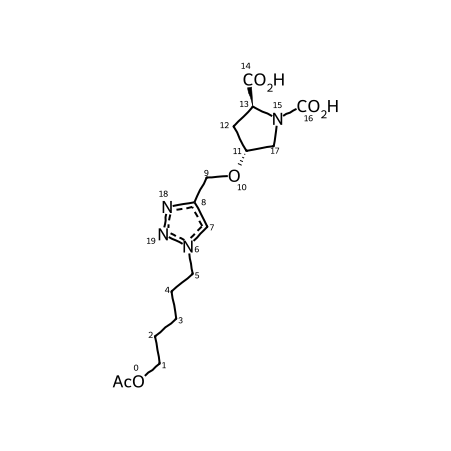 CC(=O)OCCCCCn1cc(CO[C@@H]2C[C@@H](C(=O)O)N(C(=O)O)C2)nn1